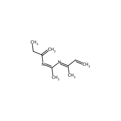 C=C/C(C)=N/C(C)=N\C(=C)CC